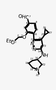 CCOCOc1cc(C=O)ccc1-c1nnc(N[C@@H]2CCCN(C)C2)cc1C1CC1